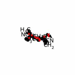 C=CC(=O)N1CCN(c2nc(OC[C@]3(C)CC(c4ccc(N5CCc6c(nc(OC[C@@H]7CCCN7CC7CC7)nc6N6CCN(C(=O)C=C)C(CC#N)C6)C5)c5ccccc45)CN3C)nc3c2CCN(c2cccc4ccccc24)C3)CC1CC#N